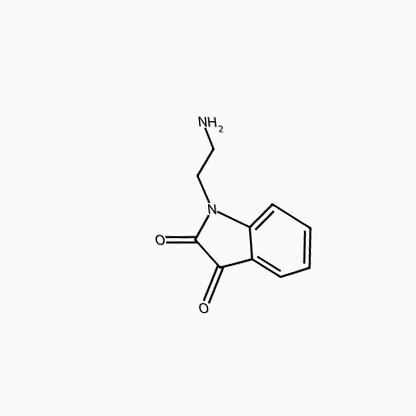 NCCN1C(=O)C(=O)c2ccccc21